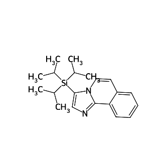 CC(C)[Si](c1cnc2c3ccccc3ccn12)(C(C)C)C(C)C